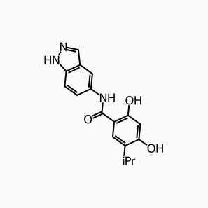 CC(C)c1cc(C(=O)Nc2ccc3[nH]ncc3c2)c(O)cc1O